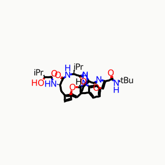 CC(C)[C@H](O)C(=O)N[C@H]1Cc2ccc3c(c2)C2(c4ccccc4N[C@H]2O3)c2oc(nc2-c2nc(C(=O)NC(C)(C)C)co2)[C@H](C(C)C)NC1=O